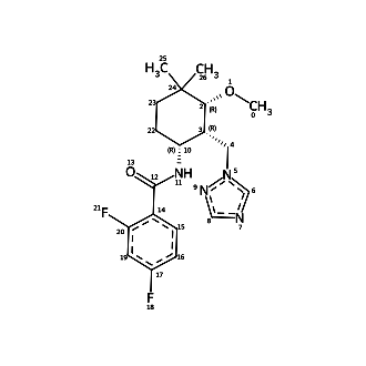 CO[C@@H]1[C@H](Cn2cncn2)[C@H](NC(=O)c2ccc(F)cc2F)CCC1(C)C